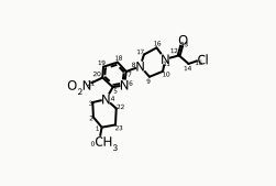 CC1CCN(c2nc(N3CCN(C(=O)CCl)CC3)ccc2[N+](=O)[O-])CC1